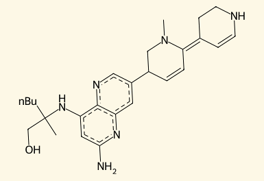 CCCCC(C)(CO)Nc1cc(N)nc2cc(C3C=CC(=C4C=CNCC4)N(C)C3)cnc12